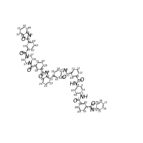 O=C(Nc1ccc(NC(=O)c2cccc(-c3nc4ccc(-c5cccc6oc(-c7cccc(C(=O)N8CCN(C(=O)c9cccc(-c%10nc%11ccccc%11o%10)c9)CC8)c7)nc56)cc4o3)c2)cc1)c1cccc(-c2nc3ccccc3o2)c1